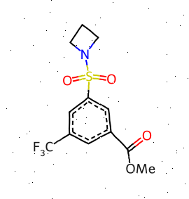 COC(=O)c1cc(C(F)(F)F)cc(S(=O)(=O)N2CCC2)c1